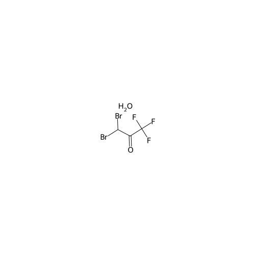 O.O=C(C(Br)Br)C(F)(F)F